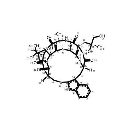 CC(O)[C@H]1NC(=O)[C@H](C)NC(=O)[C@H](C[C@](C)(O)CO)NC(=O)[C@@H]2Cc3c([nH]c4ccccc34)SC[C@H](NC1=O)C(=O)N1C[C@@H](O)C[C@H]1C(=O)N[C@@H](C)C(=O)N2